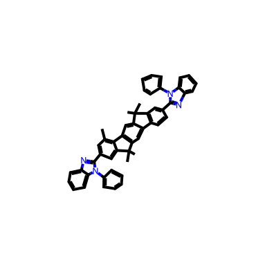 Cc1cc(-c2nc3ccccc3n2-c2ccccc2)cc2c1-c1cc3c(cc1C2(C)C)-c1ccc(-c2nc4ccccc4n2-c2ccccc2)cc1C3(C)C